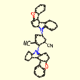 N#Cc1cc(-n2c3ccccc3c3c4c(ccc32)oc2ccccc24)cc(C#N)c1-n1c2ccccc2c2c3c(ccc21)oc1ccccc13